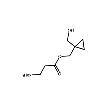 CCCCCCCCC(=O)OCC1(CO)CC1